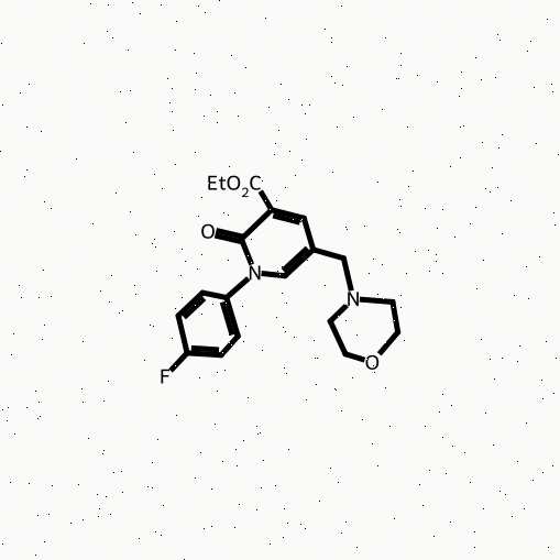 CCOC(=O)c1cc(CN2CCOCC2)cn(-c2ccc(F)cc2)c1=O